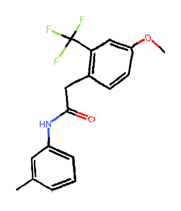 COc1ccc(CC(=O)Nc2cc[c]c(C)c2)c(C(F)(F)F)c1